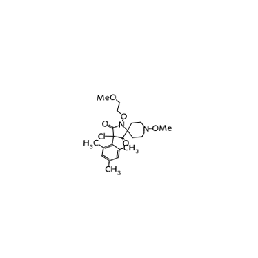 COCCON1C(=O)C(Cl)(c2c(C)cc(C)cc2C)C(=O)C12CCN(OC)CC2